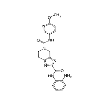 COc1ccc(NC(=O)N2CCc3nc(C(=O)Nc4ccccc4N)sc3C2)cn1